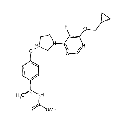 COC(=O)N[C@@H](C)c1ccc(O[C@@H]2CCN(c3ncnc(OCC4CC4)c3F)C2)cc1